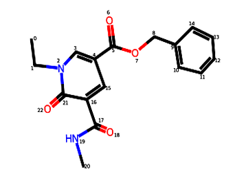 CCn1cc(C(=O)OCc2ccccc2)cc(C(=O)NC)c1=O